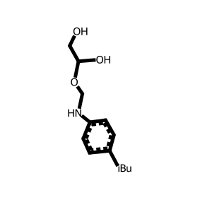 CCC(C)c1ccc(NCOC(O)CO)cc1